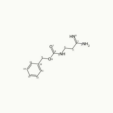 N=C(N)CCNC(=O)OCc1ccccc1